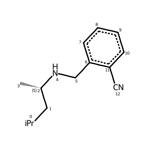 CC(C)C[C@H](C)NCc1ccccc1C#N